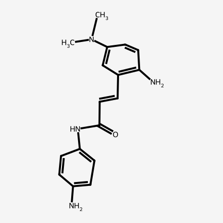 CN(C)c1ccc(N)c(C=CC(=O)Nc2ccc(N)cc2)c1